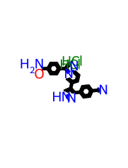 Cl.Cl.N#Cc1ccc(-c2n[nH]cc2-c2ccc3ncc(-c4ccc(C(N)=O)cc4)n3c2)cc1